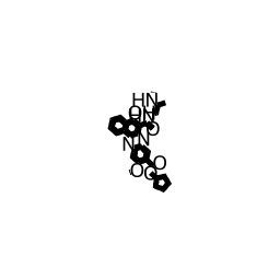 CNC(C)CNC(=O)c1c(O)c2ccccc2c2nc3cc(OC)c(C(=O)OC4CCCC4)cc3nc12